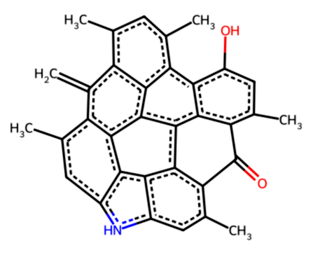 C=c1c2c(C)cc(C)c3c4c(O)cc(C)c5c4c4c6c(c(C)cc7[nH]c8cc(C)c1c(c8c76)c4c23)C5=O